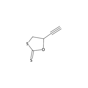 C#CC1CSC(=S)O1